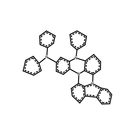 c1ccc(N(c2ccccc2)c2ccc3c(c2)N(c2ccccc2)c2cccc4c2B3c2cccc3c5ccccc5n-4c23)cc1